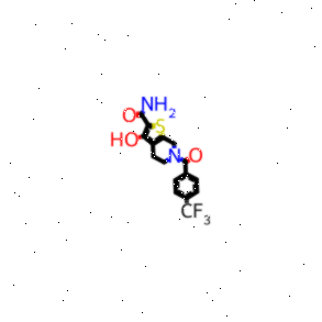 NC(=O)c1sc2c(c1O)CCN(C(=O)c1ccc(C(F)(F)F)cc1)C2